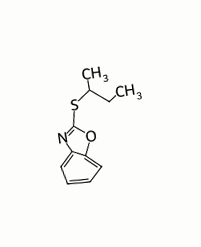 CCC(C)Sc1nc2ccccc2o1